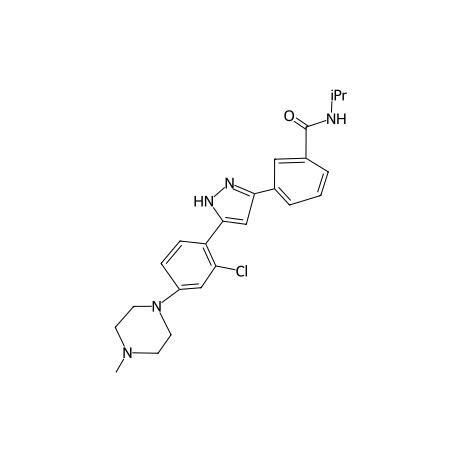 CC(C)NC(=O)c1cccc(-c2cc(-c3ccc(N4CCN(C)CC4)cc3Cl)[nH]n2)c1